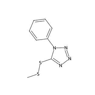 CSSc1nnnn1-c1ccccc1